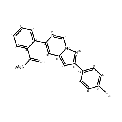 CNC(=O)c1ccccc1-c1cc2cc(-c3ccc(F)cc3)nn2cn1